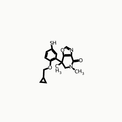 CN1CC(C)(c2cc(S)ccc2OCC2CC2)c2ocnc2C1=O